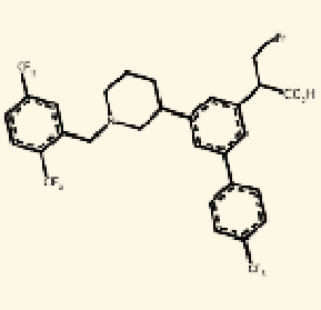 CC(C)CC(C(=O)O)c1cc(-c2ccc(C(F)(F)F)cc2)cc(C2CCCN(Cc3cc(C(F)(F)F)ccc3C(F)(F)F)C2)c1